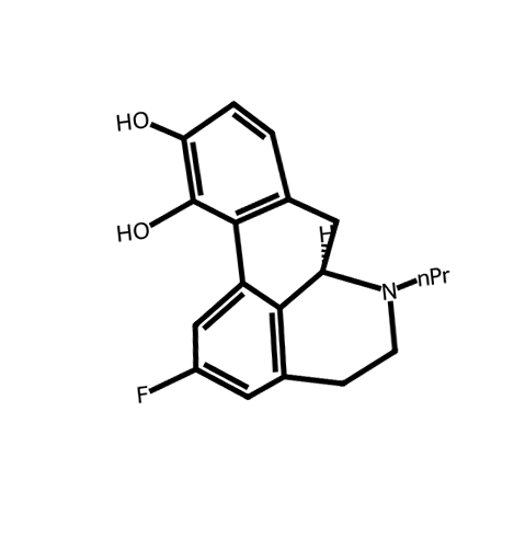 CCCN1CCc2cc(F)cc3c2[C@H]1Cc1ccc(O)c(O)c1-3